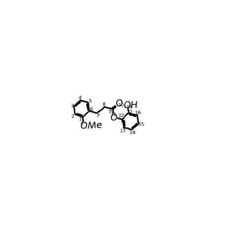 COc1ccccc1CCC(=O)Oc1ccccc1O